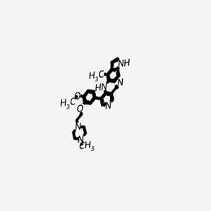 COc1ccc(-c2cncc(C#N)c2Nc2ccc3[nH]ccc3c2C)cc1OCCN1CCN(C)CC1